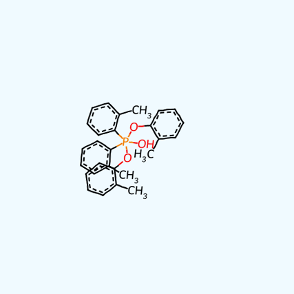 Cc1ccccc1OP(O)(Oc1ccccc1C)(c1ccccc1C)c1ccccc1C